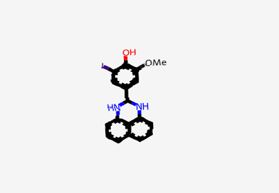 COc1cc(C2Nc3cccc4cccc(c34)N2)cc(I)c1O